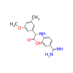 COc1cc(C)cc(C(Nc2ccc(C(=N)N)cc2)C(=O)O)c1